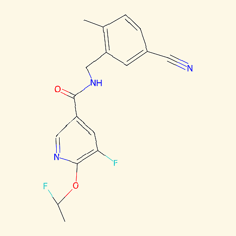 Cc1ccc(C#N)cc1CNC(=O)c1cnc(OC(C)F)c(F)c1